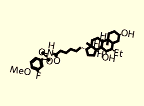 CC[C@@H]1C2C[C@H](O)CCC2(C)[C@H]2CCC3(C)[C@@H](CCCCCC(=O)NS(=O)(=O)c4ccc(OC)c(F)c4)CC[C@H]3[C@H]2[C@@H]1O